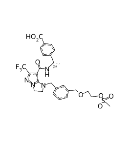 C[C@H](NC(=O)c1c(C(F)(F)F)nn2c1N(Cc1cccc(COCCOS(C)(=O)=O)c1)CC2)c1ccc(C(=O)O)cc1